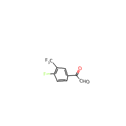 O=CC(=O)c1ccc(F)c(C(F)(F)F)c1